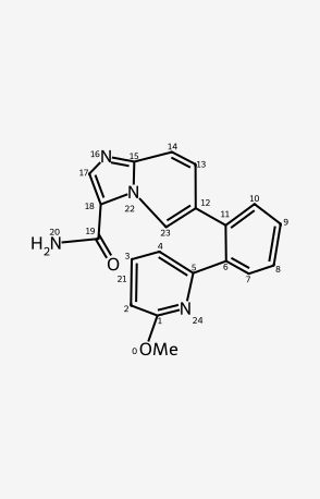 COc1cccc(-c2ccccc2-c2ccc3ncc(C(N)=O)n3c2)n1